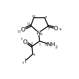 NC(C(=O)CI)N1C(=O)CCC1=O